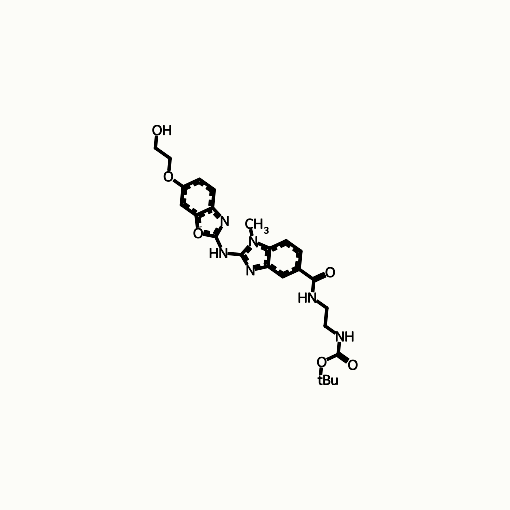 Cn1c(Nc2nc3ccc(OCCO)cc3o2)nc2cc(C(=O)NCCNC(=O)OC(C)(C)C)ccc21